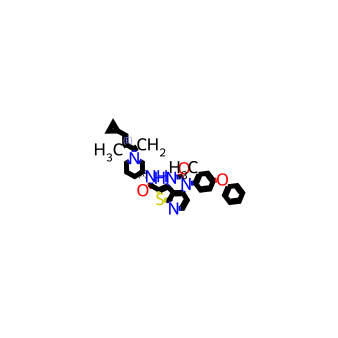 C=C(/C(C)=C/C1CC1)N1CCC[C@@H](NC(=O)c2sc3nccc4c3c2NC(=O)N4c2ccc(Oc3ccccc3)cc2C)C1